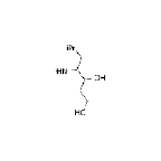 CC(C)CC([NH])C(O)CCO